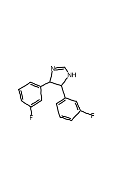 Fc1cccc(C2N=CNC2c2cccc(F)c2)c1